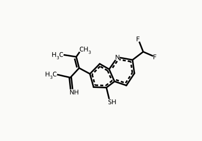 CC(=N)C(=C(C)C)c1cc(S)c2ccc(C(F)F)nc2c1